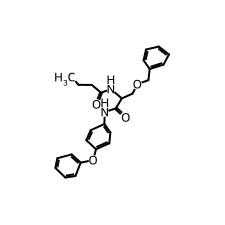 CCCC(=O)NC(COCc1ccccc1)C(=O)Nc1ccc(Oc2ccccc2)cc1